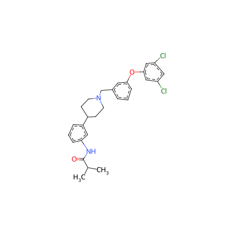 CC(C)C(=O)Nc1cccc(C2CCN(Cc3cccc(Oc4cc(Cl)cc(Cl)c4)c3)CC2)c1